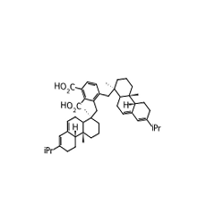 CC(C)C1=CC2=CCC3[C@@](C)(Cc4ccc(C(=O)O)c(C(=O)O)c4C[C@@]4(C)CCC[C@@]5(C)C4CC=C4C=C(C(C)C)CC[C@H]45)CCC[C@]3(C)[C@@H]2CC1